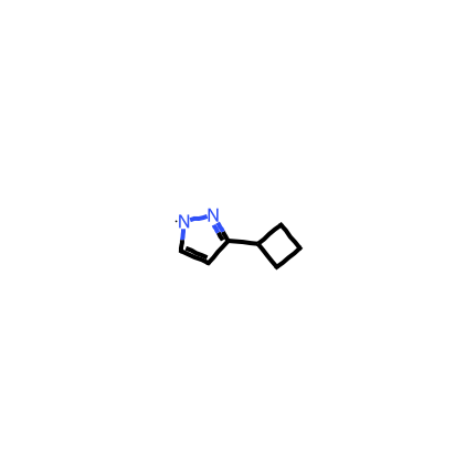 C1=CC(C2CCC2)=N[N]1